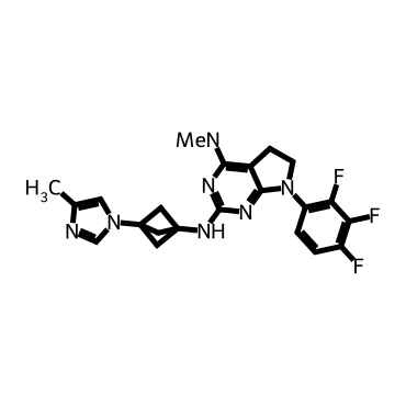 CNc1nc(NC23CC(n4cnc(C)c4)(C2)C3)nc2c1CCN2c1ccc(F)c(F)c1F